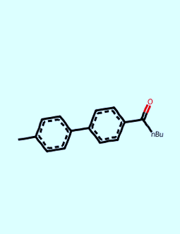 CCCCC(=O)c1ccc(-c2ccc(C)cc2)cc1